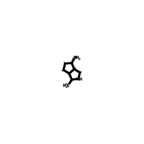 CC1NCC2C(N)CCC12